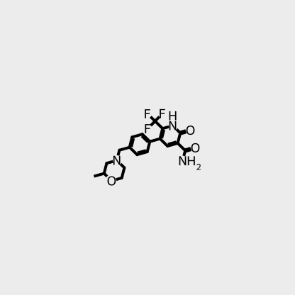 CC1CN(Cc2ccc(-c3cc(C(N)=O)c(=O)[nH]c3C(F)(F)F)cc2)CCO1